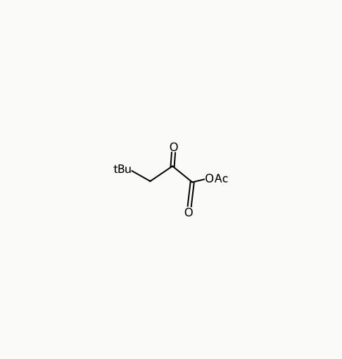 CC(=O)OC(=O)C(=O)CC(C)(C)C